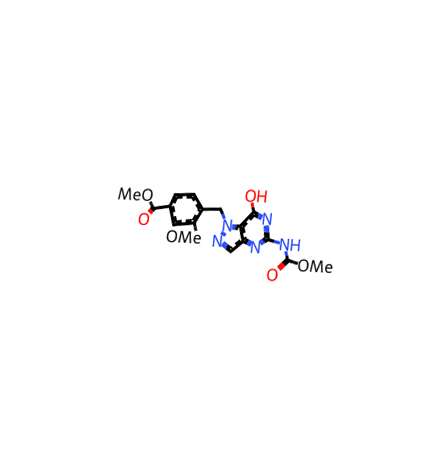 COC(=O)Nc1nc(O)c2c(cnn2Cc2ccc(C(=O)OC)cc2OC)n1